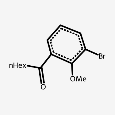 CCCCCCC(=O)c1cccc(Br)c1OC